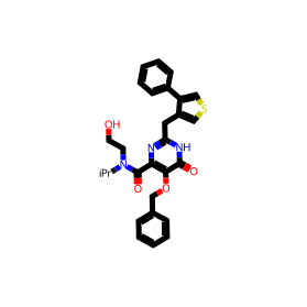 CC(C)N(CCO)C(=O)c1nc(Cc2cscc2-c2ccccc2)[nH]c(=O)c1OCc1ccccc1